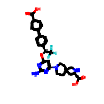 Nc1nc(O[C@H](c2ccc(-c3ccc(C(=O)O)cc3)cc2)C(F)(F)F)cc(N2CCC3(CC2)CNC(C(=O)O)C3)n1